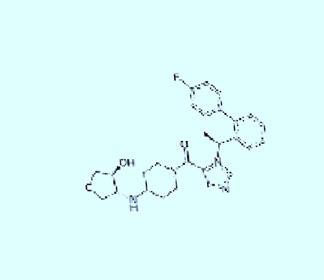 C[C@@H](c1ccccc1-c1ccc(F)cc1)n1cncc1C(=O)N1CCC(N[C@@H]2COC[C@H]2O)CC1